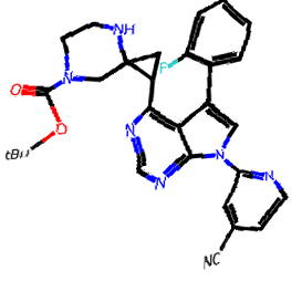 CC(C)(C)OC(=O)N1CCNC2(CC2c2ncnc3c2c(-c2ccccc2F)cn3-c2cc(C#N)ccn2)C1